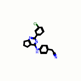 N#CCc1ccc(Nc2nc(-c3cccc(Cl)c3)nc3c2CCC3)cc1